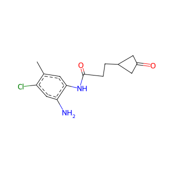 Cc1cc(NC(=O)CCC2CC(=O)C2)c(N)cc1Cl